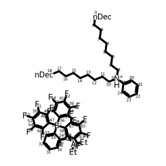 CCCCCCCCCCCCCCCCCC[NH+](CCCCCCCCCCCCCCCCCC)c1ccccc1.C[CH2][Al]([CH2]C)[O]c1ccccc1[B-](c1c(F)c(F)c(F)c(F)c1F)(c1c(F)c(F)c(F)c(F)c1F)c1c(F)c(F)c(F)c(F)c1F